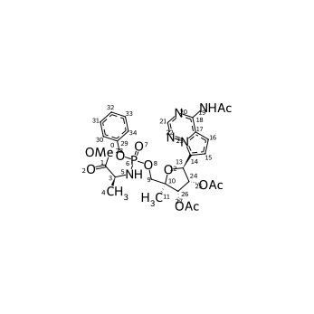 COC(=O)[C@H](C)NP(=O)(OC[C@@]1(C)O[C@@H](c2ccc3c(NC(C)=O)ncnn23)[C@H](OC(C)=O)[C@@H]1OC(C)=O)Oc1ccccc1